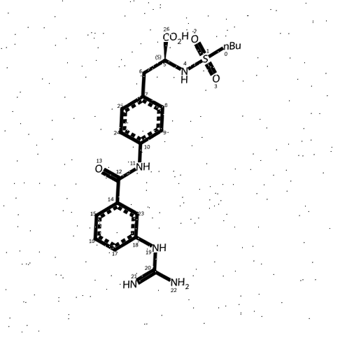 CCCCS(=O)(=O)N[C@@H](Cc1ccc(NC(=O)c2cccc(NC(=N)N)c2)cc1)C(=O)O